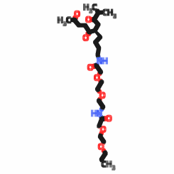 CCCOCCOCC(=O)NCCOCCOCC(=O)NCCCC[C@H](CC(=O)C(C)C)C(=O)CCC(C)=O